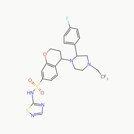 O=S(=O)(Nc1ncns1)c1ccc2c(c1)OCCC2N1CCN(CC(F)(F)F)CC1c1ccc(F)cc1